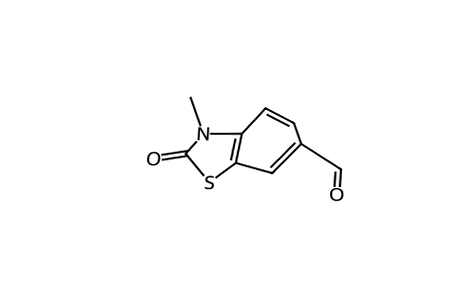 Cn1c(=O)sc2cc(C=O)ccc21